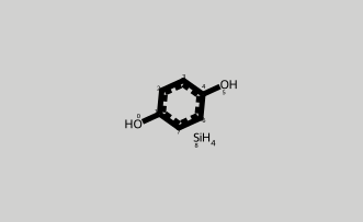 Oc1ccc(O)cc1.[SiH4]